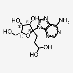 Nc1ncnc2c1ncn2[C@]1(CCC(O)O)O[C@H](CO)[C@@H](O)[C@H]1O